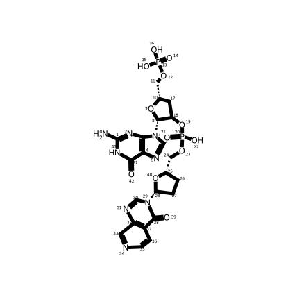 Nc1nc2c(ncn2[C@@H]2O[C@H](COP(=O)(O)O)CC2OP(=O)(O)OC[C@@H]2CC[C@H](n3cnc4cnccc4c3=O)O2)c(=O)[nH]1